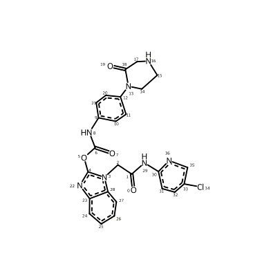 O=C(Cn1c(OC(=O)Nc2ccc(N3CCNCC3=O)cc2)nc2ccccc21)Nc1ccc(Cl)cn1